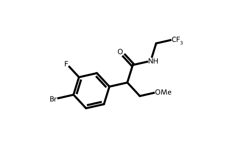 COCC(C(=O)NCC(F)(F)F)c1ccc(Br)c(F)c1